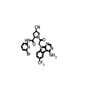 N#CC1CC(C(=O)Nc2cccc(Br)n2)N(C(=O)Cn2c3ccc(C(F)(F)F)cc3c3c(N)ncnc32)C1